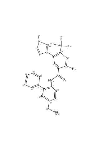 Cn1ccc(-c2cc(C(=O)Nc3ncc(CN)nc3-c3ccccc3)c(F)cc2C(F)(F)F)n1